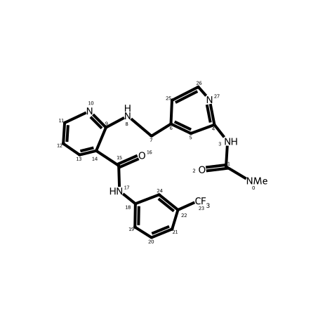 CNC(=O)Nc1cc(CNc2ncccc2C(=O)Nc2cccc(C(F)(F)F)c2)ccn1